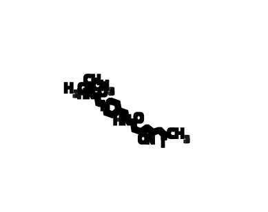 CC(I)Cc1cc(CC(=O)NCC2CCN(CC(=O)NC(C)(C)C)CC2)on1